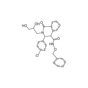 O=C(NOCc1ccccc1)C1c2ccccc2C(=O)N(CC(O)CO)C1c1ccc(Cl)cc1